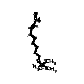 C[Si](C)(C)OCCCCCCC#[C][Mg][Cl]